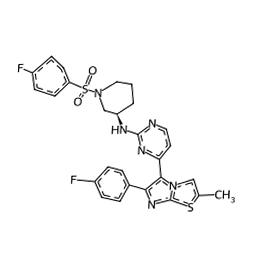 Cc1cn2c(-c3ccnc(N[C@@H]4CCCN(S(=O)(=O)c5ccc(F)cc5)C4)n3)c(-c3ccc(F)cc3)nc2s1